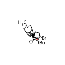 CN1CC2CN(C(=O)OC(C)(C)C)CC(C1)C2(O)c1ccc(Br)cc1